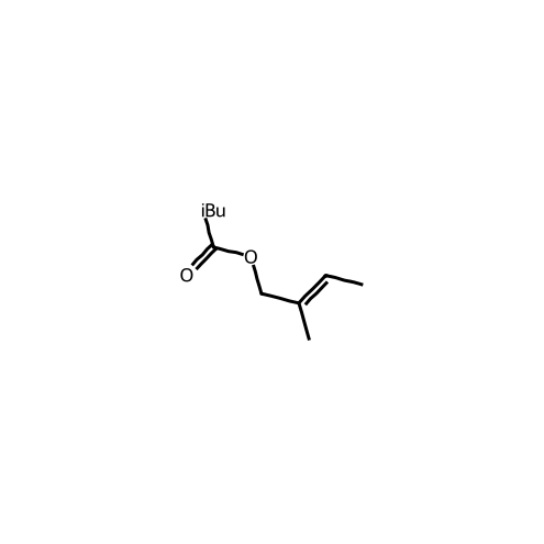 CC=C(C)COC(=O)C(C)CC